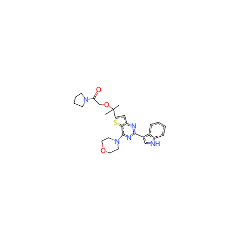 CC(C)(OCC(=O)N1CCCC1)c1cc2nc(-c3c[nH]c4ccccc34)nc(N3CCOCC3)c2s1